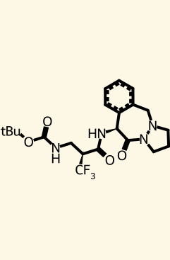 CC(C)(C)OC(=O)NC[C@@H](C(=O)N[C@@H]1C(=O)N2CCCN2Cc2ccccc21)C(F)(F)F